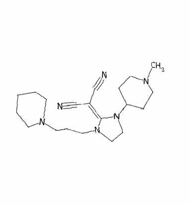 CN1CCC(N2CCN(CCCN3CCCCC3)C2=C(C#N)C#N)CC1